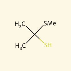 CSC(C)(C)S